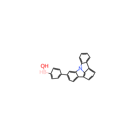 OBc1ccc(-c2ccc3c4cccc5c6ccccc6n(c3c2)c54)cc1